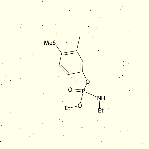 CCNP(=O)(OCC)Oc1ccc(SC)c(C)c1